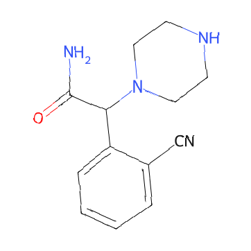 N#Cc1ccccc1C(C(N)=O)N1CCNCC1